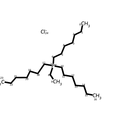 CCCCCCC[P+](CC)(CCCCCCC)CCCCCCC.[Cl-]